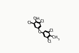 Cc1c(Cl)cc(Oc2cc(Cl)c(O)c(Cl)c2)cc1Cl